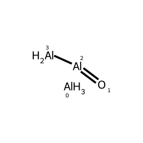 [AlH3].[O]=[Al][AlH2]